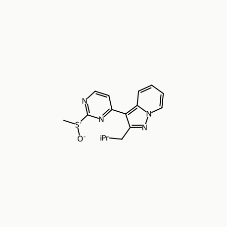 CC(C)Cc1nn2ccccc2c1-c1ccnc([S+](C)[O-])n1